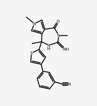 CN1C(=N)NC(C)(c2cc(-c3cccc(C#N)c3)cs2)c2cn(C)cc2C1=O